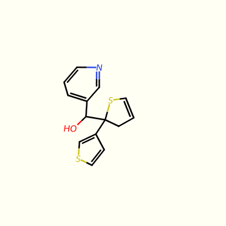 OC(c1cccnc1)C1(c2ccsc2)CC=CS1